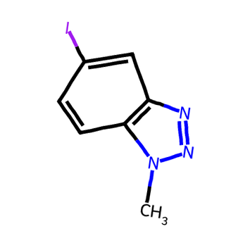 Cn1nnc2cc(I)ccc21